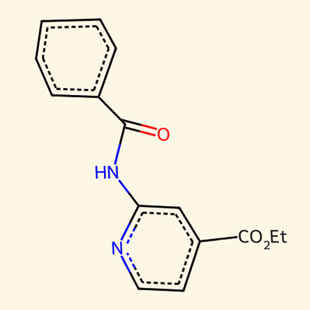 CCOC(=O)c1ccnc(NC(=O)c2ccccc2)c1